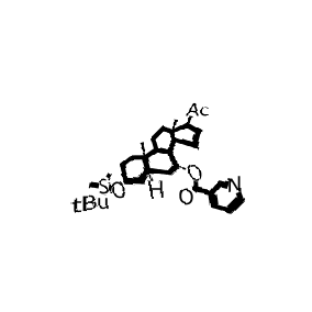 CC(=O)[C@H]1CCC2C3C(CC[C@@]21C)[C@@]1(C)CC[C@@H](O[Si](C)(C)C(C)(C)C)C[C@@H]1C[C@H]3OC(=O)c1cccnc1